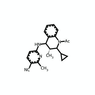 CC(=O)N1c2ccccc2C(Nc2ccc(C#N)c(C)n2)[C@@H](C)C1C1CC1